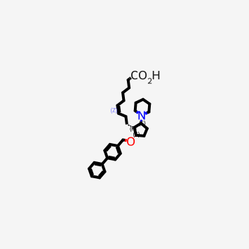 O=C(O)CCCC/C=C\CC[C@H]1[C@@H](OCc2ccc(-c3ccccc3)cc2)CC[C@@H]1N1CCCCC1